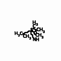 C=C(C)CCCC(CCC)(CCC=N)S[C@@H](C)C(C)=O